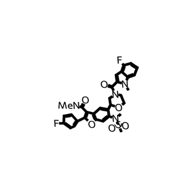 CNC(=O)c1c(-c2ccc(F)cc2)oc2cc(N(C)S(C)(=O)=O)c(C3CN(C(=O)c4cc5c(F)cccc5n4C)CCO3)cc12